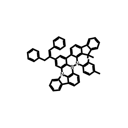 Cc1ccc(N2B3c4c(cc(/C(=C\c5ccccc5)Cc5ccccc5)cc4-n4c5ccccc5c5cccc3c54)-c3ccc4c(c32)C(C)(C)c2ccccc2-4)c(C)c1